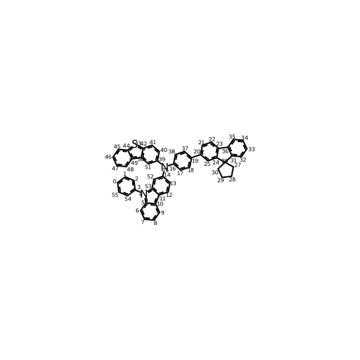 c1ccc(-n2c3ccccc3c3ccc(N(c4ccc(-c5ccc6c(c5)C5(CCCC5)c5ccccc5-6)cc4)c4ccc5sc6ccccc6c5c4)cc32)cc1